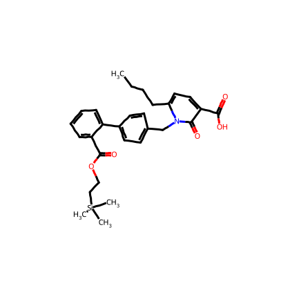 CCCCc1ccc(C(=O)O)c(=O)n1Cc1ccc(-c2ccccc2C(=O)OCC[Si](C)(C)C)cc1